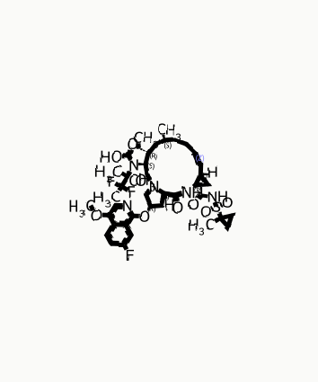 CC[C@@H]1C[C@@H](C)CC/C=C\[C@@H]2C[C@@]2(C(=O)NS(=O)(=O)C2(C)CC2)NC(=O)[C@@H]2C[C@@H](Oc3ncc(OC)c4ccc(F)cc34)CN2C(=O)[C@H]1N(C(=O)O)C(C)(C)C(C)(F)F